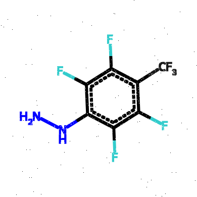 NNc1c(F)c(F)c(C(F)(F)F)c(F)c1F